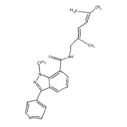 CC(C)=C/C=C(\C)CNC(=O)c1cccc2c(-c3ccncc3)nn(C)c12